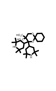 CC1(C)CC(C2(C3CC(C)(C)NC(C)(C)C3)OC3(CCCCC3)OCC2(C(=O)O)C(=O)O)CC(C)(C)N1